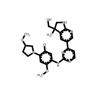 COc1cc(N2CCC(OC)C2)c(Cl)cc1Nc1nccc(-c2cnc3c(c2)C(C)(CO)CN3)n1